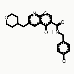 O=C(NCc1ccc(Cl)cc1)c1csc2ncc(CC3CCOCC3)cc2c1=O